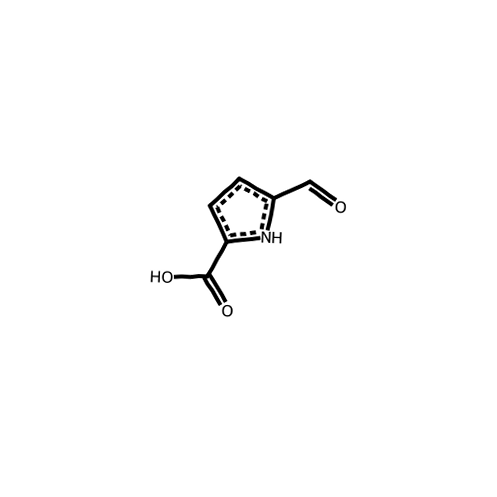 O=Cc1ccc(C(=O)O)[nH]1